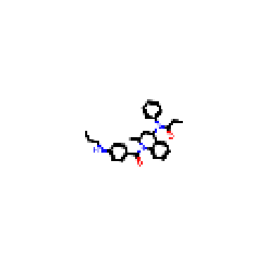 CCCNc1ccc(C(=O)N2c3ccccc3C(N(C(=O)CC)c3ccccc3)CC2C)cc1